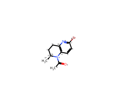 CC(=O)N1c2ccc(Br)nc2CC[C@@H]1C